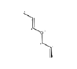 C=CCO/C=C/C